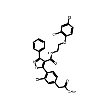 COC(=O)Cc1ccc(-c2onc(-c3ccccc3)c2C(=O)NCCOc2ccc(Cl)cc2Cl)c(Cl)c1